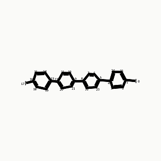 Ic1ccc(-c2ccc(-c3ccc(-c4ccc(I)cc4)cc3)cc2)cc1